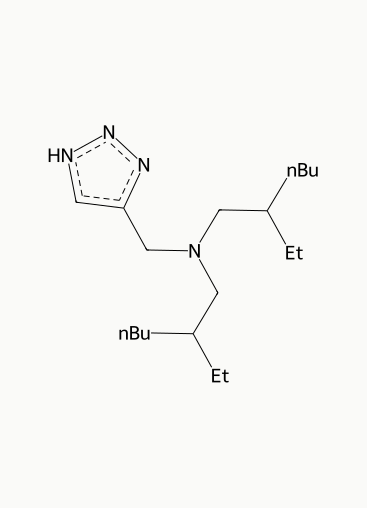 CCCCC(CC)CN(Cc1c[nH]nn1)CC(CC)CCCC